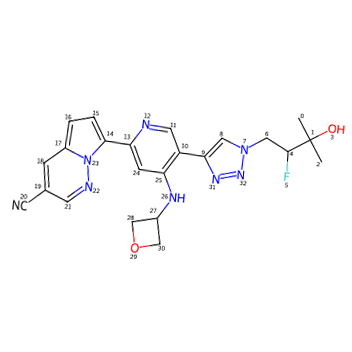 CC(C)(O)C(F)Cn1cc(-c2cnc(-c3ccc4cc(C#N)cnn34)cc2NC2COC2)nn1